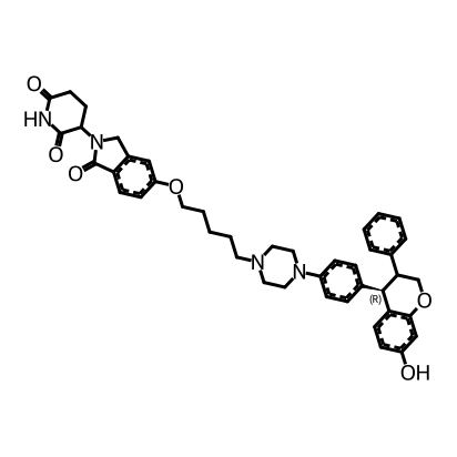 O=C1CCC(N2Cc3cc(OCCCCCN4CCN(c5ccc([C@@H]6c7ccc(O)cc7OCC6c6ccccc6)cc5)CC4)ccc3C2=O)C(=O)N1